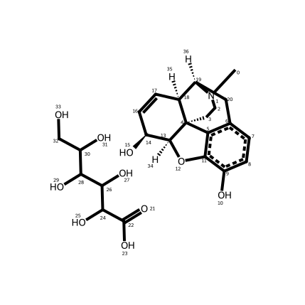 CN1CC[C@]23c4c5ccc(O)c4O[C@H]2[C@@H](O)C=C[C@H]3[C@H]1C5.O=C(O)C(O)C(O)C(O)C(O)CO